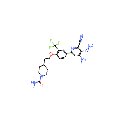 CNC(=O)N1CCC(CCOc2ccc(-c3cc(NC)c(N=N)c(C#N)n3)cc2C(F)(F)F)CC1